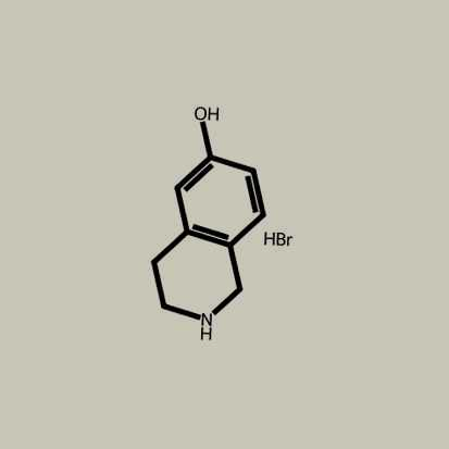 Br.Oc1ccc2c(c1)CCNC2